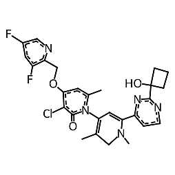 CC1=C(n2c(C)cc(OCc3ncc(F)cc3F)c(Cl)c2=O)C=C(c2ccnc(C3(O)CCC3)n2)N(C)C1